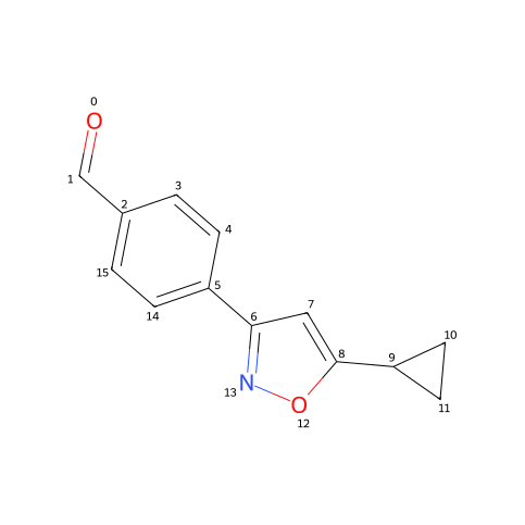 O=Cc1ccc(-c2cc(C3CC3)on2)cc1